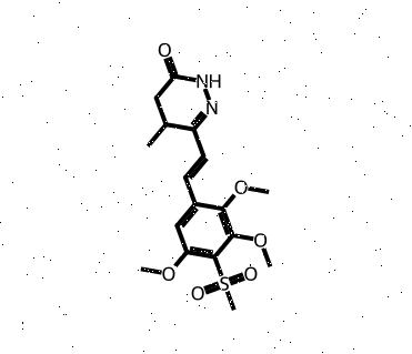 COc1cc(C=CC2=NNC(=O)CC2C)c(OC)c(OC)c1S(C)(=O)=O